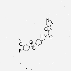 CCOc1cc(S(=O)(=O)c2ccc(CNC(=O)c3cc4ccncc4o3)cc2)ccc1F